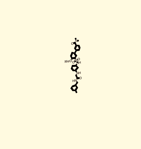 COc1ccc(-c2cccc(C(=O)N(C)C)c2)cc1S(=O)(=O)Nc1cccc(NCC(=O)NCc2cccc(C)c2)c1